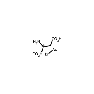 CC(=O)Br.N[C@@H](CC(=O)O)C(=O)O